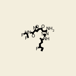 C=C/C(F)=C\C=C(/C)Nc1nc(N)c(C(=O)c2cc(C(=O)NC(CF)CF)no2)s1